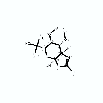 CCCCO[C@@H]1[C@H]2N=C(C)S[C@H]2O[C@H](C(C)(O)C(F)(F)F)[C@H]1OCCCC